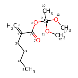 C=C(CCCC)C(=O)O[Si](C)(OC)OC